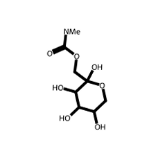 CNC(=O)OCC1(O)OCC(O)C(O)C1O